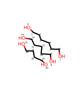 OCCCCCCO.OCCCCCO.OCCCCO